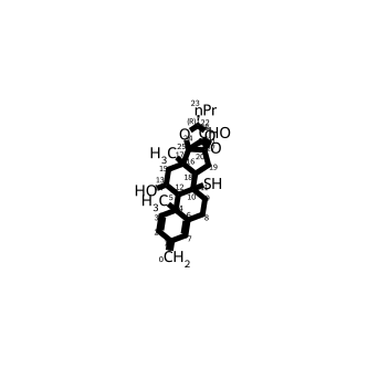 C=C1C=CC2(C)C(=C1)CCC1(S)C2C(O)CC2(C)C1CC1O[C@@H](CCC)OC12C(=O)C=O